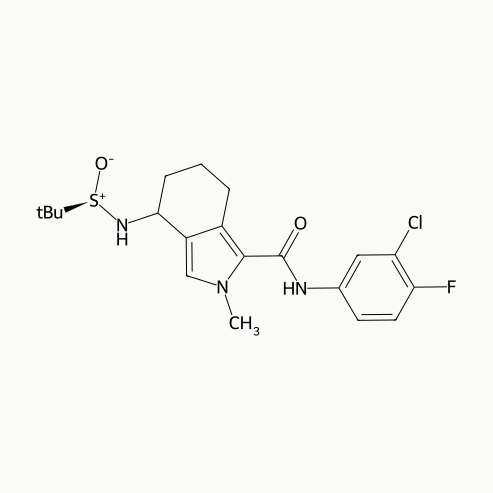 Cn1cc2c(c1C(=O)Nc1ccc(F)c(Cl)c1)CCCC2N[S@+]([O-])C(C)(C)C